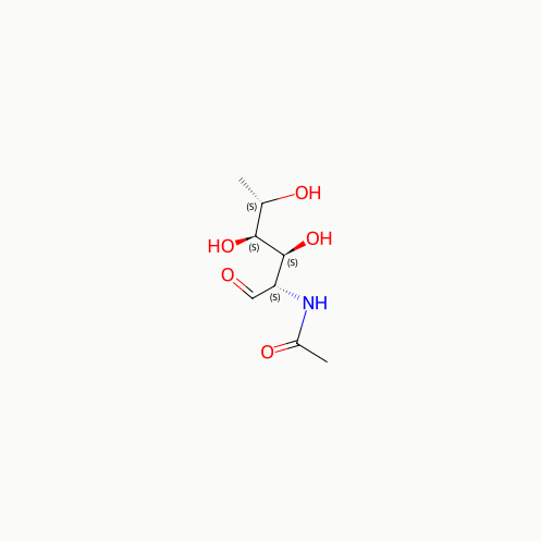 CC(=O)N[C@H](C=O)[C@H](O)[C@@H](O)[C@H](C)O